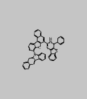 c1ccc(C2NC(c3cc4ccccc4c4c3oc3c(-n5c6ccccc6c6cc7ccccc7cc65)cccc34)=Nc3c2sc2ccccc32)cc1